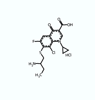 CCC(N)CSc1c(F)cc2c(=O)c(C(=O)O)cn(C3CC3)c2c1Cl.Cl